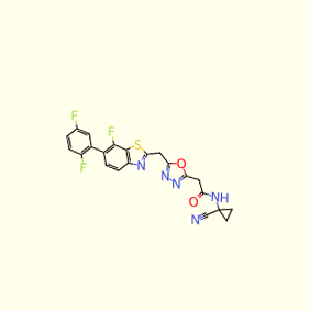 N#CC1(NC(=O)Cc2nnc(Cc3nc4ccc(-c5cc(F)ccc5F)c(F)c4s3)o2)CC1